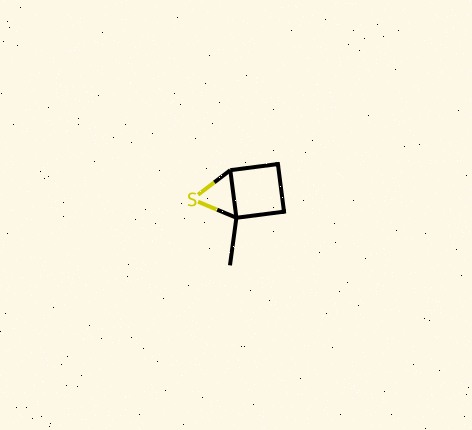 CC12CCC1S2